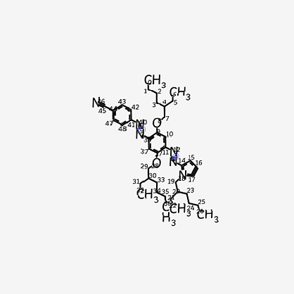 CCCCC(CC)COc1cc(/N=N/c2cc#cn2CC(CC)CCCC)c(OCC(CC)CCCC)cc1/N=N/c1ccc(C#N)cc1